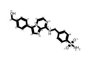 NS(=O)(=O)c1ccc(CNc2nccn3c(-c4ccc(CO)cc4)cnc23)cc1